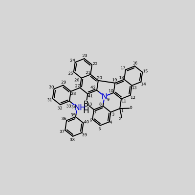 CC1(C)c2cccc3c2-n2c4c1cc1ccccc1c4c1c4ccccc4c(-c4ccccc4Nc4ccccc4)c(c12)B3